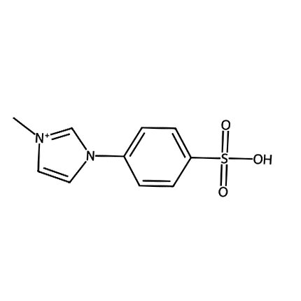 C[n+]1ccn(-c2ccc(S(=O)(=O)O)cc2)c1